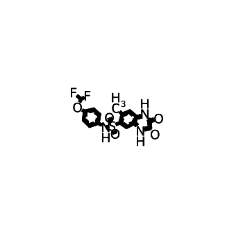 Cc1cc2[nH]c(=O)c(=O)[nH]c2cc1S(=O)(=O)Nc1ccc(OC(F)F)cc1